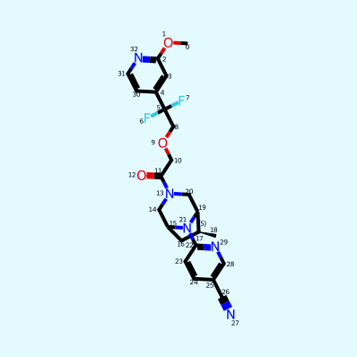 COc1cc(C(F)(F)COCC(=O)N2CC3C[C@H](C)C(C2)N3c2ccc(C#N)cn2)ccn1